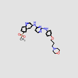 CS(=O)(=O)c1ccc2ncc(Nc3ccnc(Nc4ccc(OCCCN5CCOCC5)cc4)n3)cc2c1